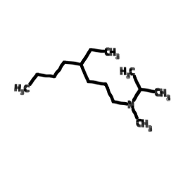 CCCCC(CC)CCCN(C)C(C)C